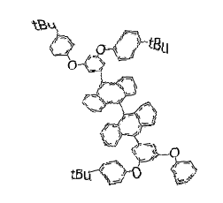 CC(C)(C)c1ccc(Oc2cc(Oc3ccccc3)cc(-c3c4ccccc4c(-c4c5ccccc5c(-c5cc(Oc6ccc(C(C)(C)C)cc6)cc(Oc6ccc(C(C)(C)C)cc6)c5)c5ccccc45)c4ccccc34)c2)cc1